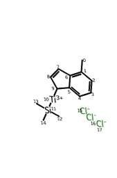 Cc1cccc2c1C=C[CH]2[Ti+3][Si](C)(C)C.[Cl-].[Cl-].[Cl-]